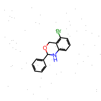 Brc1cccc2c1COC(c1ccccc1)N2